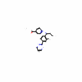 COC(=O)c1ccc(NC(CCC(F)(F)F)c2ccc(-c3ncc(C(F)(F)F)cn3)cc2C)cc1